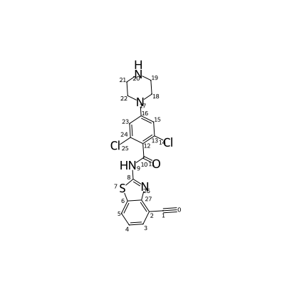 C#Cc1cccc2sc(NC(=O)c3c(Cl)cc(N4CCNCC4)cc3Cl)nc12